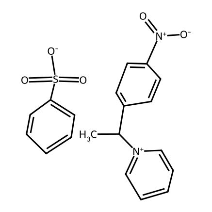 CC(c1ccc([N+](=O)[O-])cc1)[n+]1ccccc1.O=S(=O)([O-])c1ccccc1